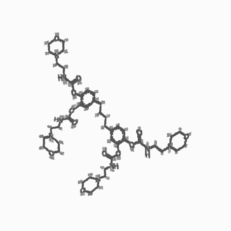 O=C(NCCN1CCOCC1)Oc1ccc(CCCCc2ccc(OC(=O)NCCN3CCOCC3)c(OC(=O)NCCN3CCOCC3)c2)cc1OC(=O)NCCN1CCOCC1